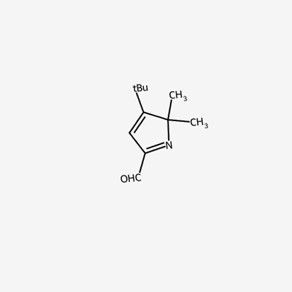 CC(C)(C)C1=CC(C=O)=NC1(C)C